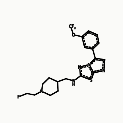 FCCN1CCC(CNc2nn3c(-c4cccc(OC(F)(F)F)c4)cnc3s2)CC1